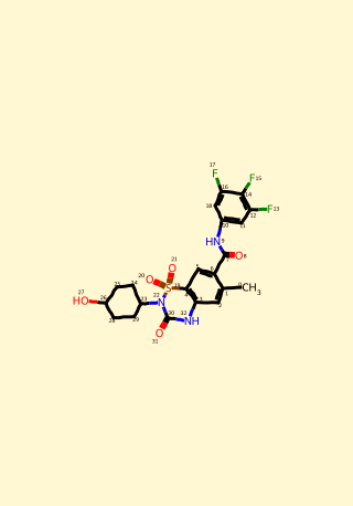 Cc1cc2c(cc1C(=O)Nc1cc(F)c(F)c(F)c1)S(=O)(=O)N(C1CCC(O)CC1)C(=O)N2